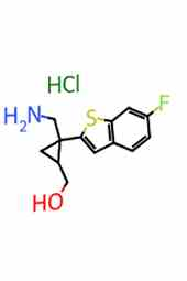 Cl.NCC1(c2cc3ccc(F)cc3s2)CC1CO